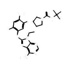 CC(C)(C)OC(=O)N1CC[C@@H](CCn2c(Sc3cc(O)c(O)cc3Br)nc3c(N)ncnc32)C1